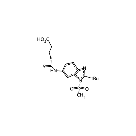 CC(C)(C)c1nc2ccc(NC(=S)SCCC(=O)O)cc2n1S(C)(=O)=O